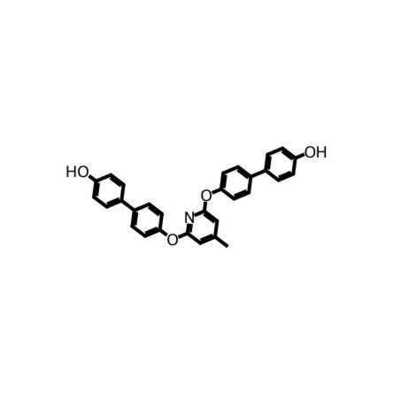 Cc1cc(Oc2ccc(-c3ccc(O)cc3)cc2)nc(Oc2ccc(-c3ccc(O)cc3)cc2)c1